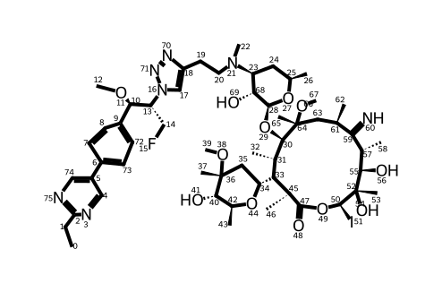 CCc1ncc(-c2ccc([C@@H](OC)[C@@H](CF)n3cc(CCN(C)[C@H]4C[C@@H](C)O[C@@H](O[C@@H]5[C@@H](C)C([C@H]6C[C@@](C)(OC)[C@@H](O)[C@H](C)O6)[C@@H](C)C(=O)O[C@H](I)[C@@](C)(O)[C@H](O)[C@@H](C)C(=N)[C@H](C)C[C@@]5(C)OC)[C@@H]4O)nn3)cc2)cn1